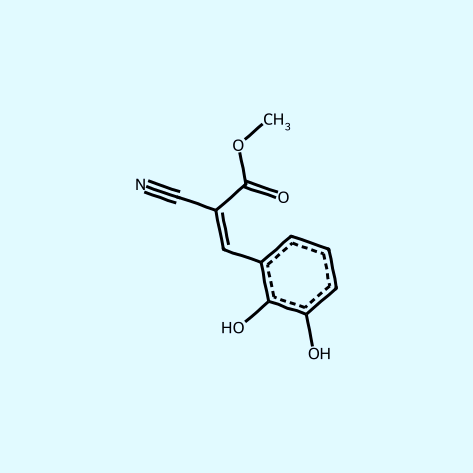 COC(=O)C(C#N)=Cc1cccc(O)c1O